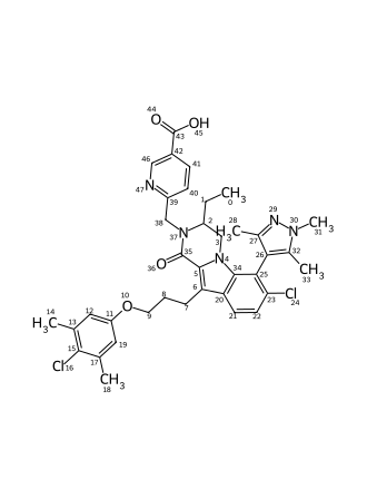 CCC1Cn2c(c(CCCOc3cc(C)c(Cl)c(C)c3)c3ccc(Cl)c(-c4c(C)nn(C)c4C)c32)C(=O)N1Cc1ccc(C(=O)O)cn1